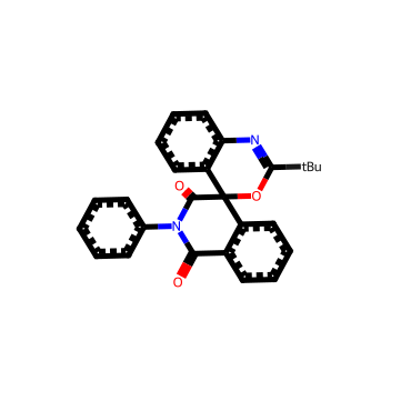 CC(C)(C)C1=Nc2ccccc2C2(O1)C(=O)N(c1ccccc1)C(=O)c1ccccc12